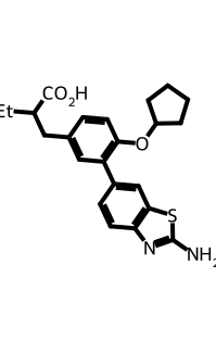 CCC(Cc1ccc(OC2CCCC2)c(-c2ccc3nc(N)sc3c2)c1)C(=O)O